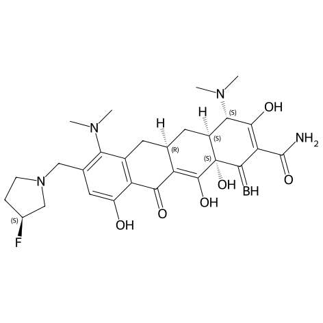 B=C1C(C(N)=O)=C(O)[C@@H](N(C)C)[C@@H]2C[C@@H]3Cc4c(c(O)cc(CN5CC[C@H](F)C5)c4N(C)C)C(=O)C3=C(O)[C@]12O